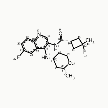 C[C@@H]1C[C@H](Nc2c(NC(=O)[C@H]3C[C@@](C)(F)C3)cnc3ccc(F)cc23)CCO1